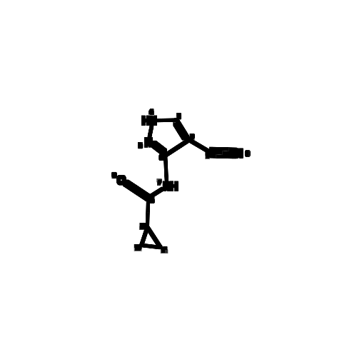 N#Cc1c[nH]nc1NC(=O)C1CC1